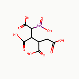 O=C(O)CC(C(=O)O)C(C(=O)O)C(C(=O)O)[PH](=O)O